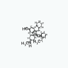 CCc1ccccc1.CNC1CCC(c2cccc(O)c2)(N(C)CCC2CCCCC2)CC1